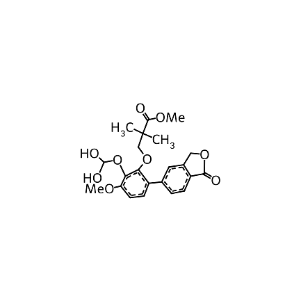 COC(=O)C(C)(C)COc1c(-c2ccc3c(c2)COC3=O)ccc(OC)c1OC(O)O